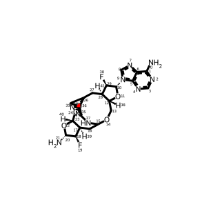 Nc1ncnc2c1ncn2[C@@H]1O[C@@H]2COC3C[C@H]4[C@@H](F)[C@H](N)O[C@@H]4COC4(C[C@H]2[C@H]1F)c1ncnc(c14)N3